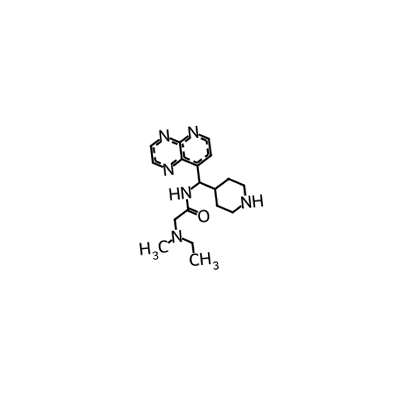 CCN(C)CC(=O)NC(c1ccnc2nccnc12)C1CCNCC1